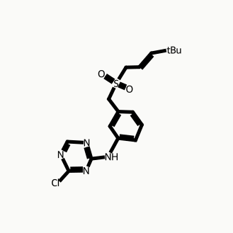 CC(C)(C)C=CCS(=O)(=O)Cc1cccc(Nc2ncnc(Cl)n2)c1